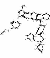 CC1=NN(c2ccc(OC=O)cc2)C(=O)/C1=C\c1ccc2c(c1)C1CCCC1N2c1ccc(C=C(c2ccccc2)c2ccccc2)cc1